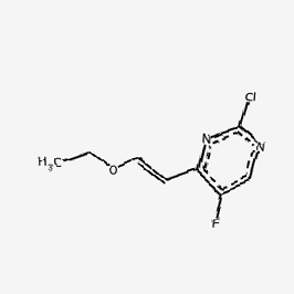 CCOC=Cc1nc(Cl)ncc1F